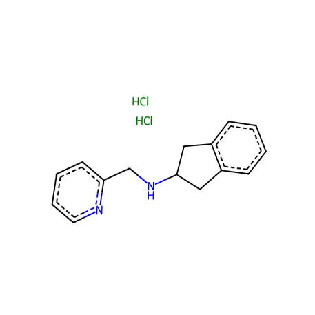 Cl.Cl.c1ccc(CNC2Cc3ccccc3C2)nc1